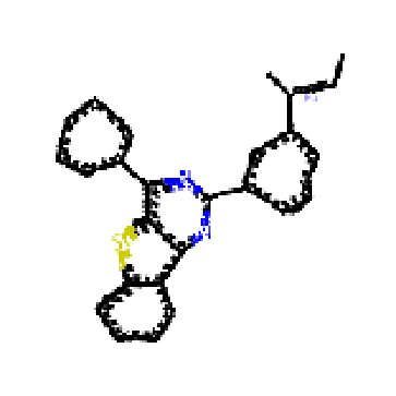 C/C=C(\C)c1cccc(-c2nc(-c3ccccc3)c3sc4ccccc4c3n2)c1